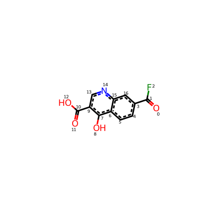 O=C(F)c1ccc2c(O)c(C(=O)O)cnc2c1